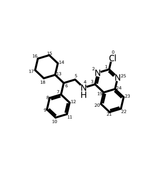 Clc1nc(NCC(c2ccccc2)C2CCCCC2)c2ccccc2n1